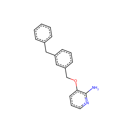 Nc1ncccc1OCc1cccc(Cc2ccccc2)c1